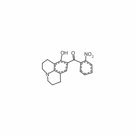 O=C(c1ccccc1[N+](=O)[O-])c1cc2c3c(c1O)CCCN3CCC2